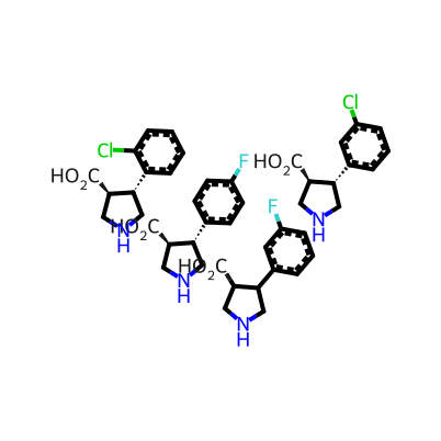 O=C(O)C1CNCC1c1cccc(F)c1.O=C(O)[C@@H]1CNC[C@H]1c1ccc(F)cc1.O=C(O)[C@@H]1CNC[C@H]1c1cccc(Cl)c1.O=C(O)[C@@H]1CNC[C@H]1c1ccccc1Cl